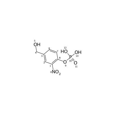 O=[N+]([O-])c1cc(CO)ccc1OP(=O)(O)O